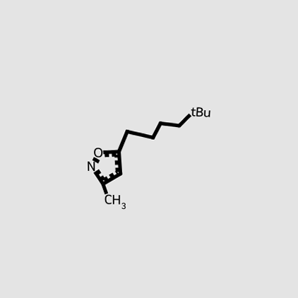 Cc1cc(CCCCC(C)(C)C)on1